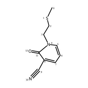 CSCCn1cccc(C#N)c1=O